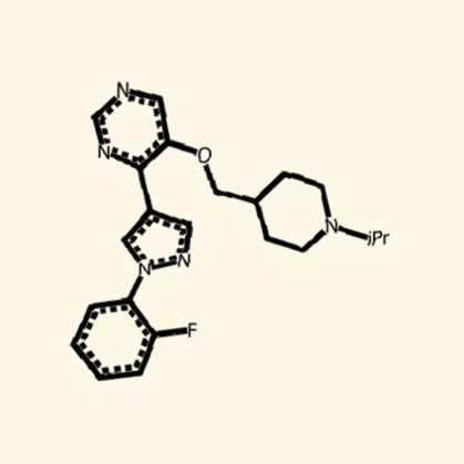 CC(C)N1CCC(COc2cncnc2-c2cnn(-c3ccccc3F)c2)CC1